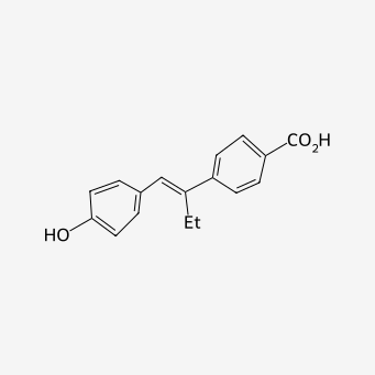 CC/C(=C\c1ccc(O)cc1)c1ccc(C(=O)O)cc1